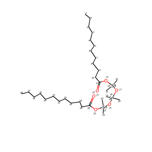 CCCCCCCCCCCC(=O)[O][Sn]([CH3])([CH3])[O][Sn]([CH3])([CH3])[O][Sn]([CH3])([CH3])[O]C(=O)CCCCCCCCCCC